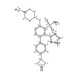 CN1CCC(Cc2ccc(-c3ccc(C4CNC4)cc3)c(-c3nn[nH]n3)c2S(N)(=O)=O)CC1